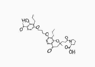 CCCc1c(OCCCOc2ccc3c(c2CCC)OC(C)(CCC(=O)N2CCC[C@H]2C(=O)O)CC3=O)ccc(C(C)=O)c1O